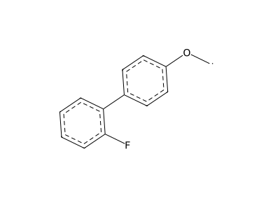 [CH2]Oc1ccc(-c2ccccc2F)cc1